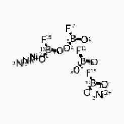 [Ni+2].[Ni+2].[Ni+2].[Ni+2].[O-]B([O-])F.[O-]B([O-])F.[O-]B([O-])F.[O-]B([O-])F